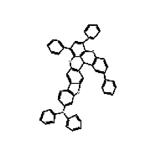 c1ccc(-c2ccc3c(c2)B2c4cc5oc6cc(N(c7ccccc7)c7ccccc7)ccc6c5cc4Oc4c(-c5ccccc5)cc(-c5ccccc5)c(c42)O3)cc1